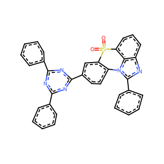 O=S1(=O)c2cc(-c3nc(-c4ccccc4)nc(-c4ccccc4)n3)ccc2-n2c(-c3ccccc3)nc3cccc1c32